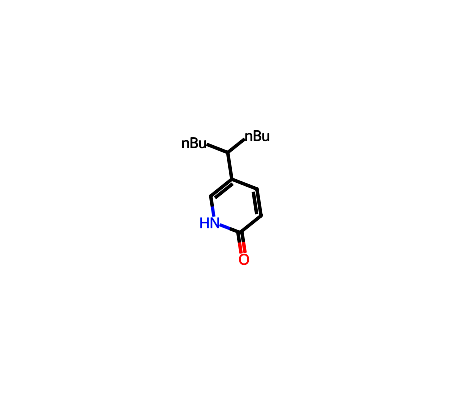 CCCCC(CCCC)c1ccc(=O)[nH]c1